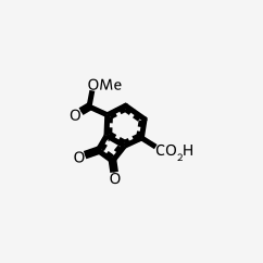 COC(=O)c1ccc(C(=O)O)c2c(=O)c(=O)c12